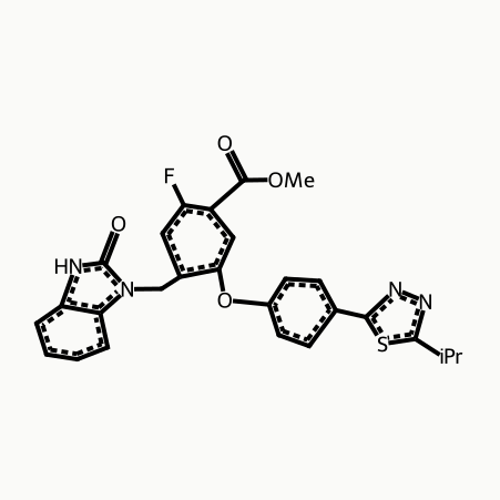 COC(=O)c1cc(Oc2ccc(-c3nnc(C(C)C)s3)cc2)c(Cn2c(=O)[nH]c3ccccc32)cc1F